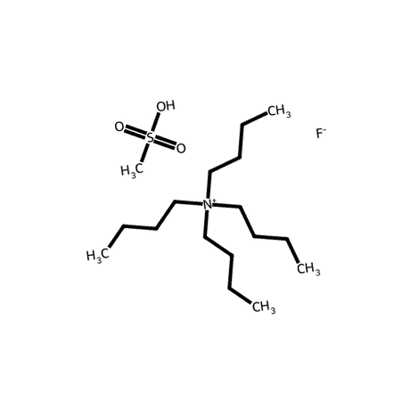 CCCC[N+](CCCC)(CCCC)CCCC.CS(=O)(=O)O.[F-]